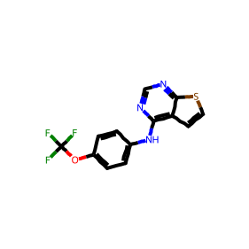 FC(F)(F)Oc1ccc(Nc2ncnc3sccc23)cc1